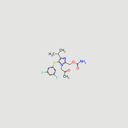 CC(=O)Cn1c(COC(N)=O)nc(C(C)C)c1Sc1cc(F)cc(F)c1